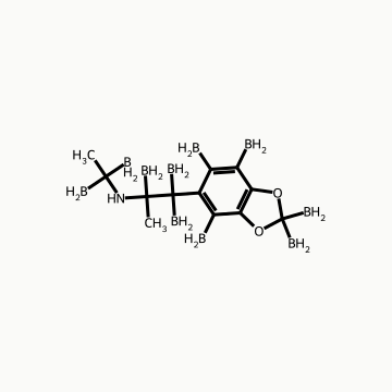 Bc1c(B)c(C(B)(B)C(B)(C)NC(B)(B)C)c(B)c2c1OC(B)(B)O2